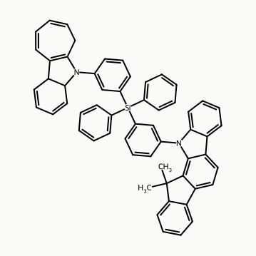 CC1(C)c2ccccc2-c2ccc3c4ccccc4n(-c4cccc([Si](c5ccccc5)(c5ccccc5)c5cccc(N6C7=C(C=CC=CC7)C7C=CC=CC76)c5)c4)c3c21